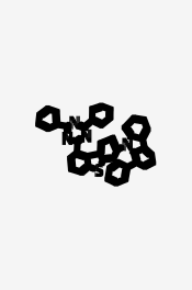 c1ccc(-c2nc(-c3ccccc3)nc(-c3cccc4sc5cc(-n6c7ccccc7c7cccc(-c8ccccc8)c76)ccc5c34)n2)cc1